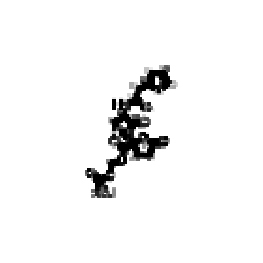 CC(C)(C)C(=O)OCOC(=O)C1(N2OC[C@H](NC(=O)Cc3cccs3)C2=O)CCC(=O)O1